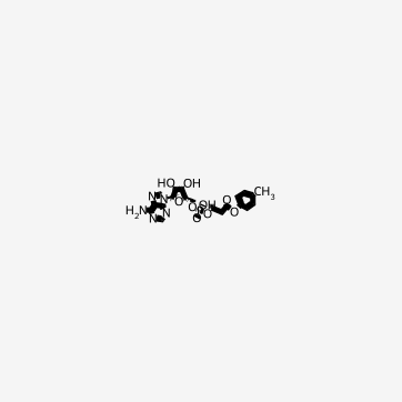 Cc1ccc(OC(=O)CCOP(=O)(O)OC[C@H]2O[C@@H](n3cnc4c(N)ncnc43)[C@H](O)[C@@H]2O)cc1